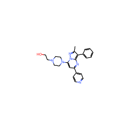 Cc1nn2c(N3CCN(CCO)CC3)cc(-c3ccncc3)nc2c1-c1ccccc1